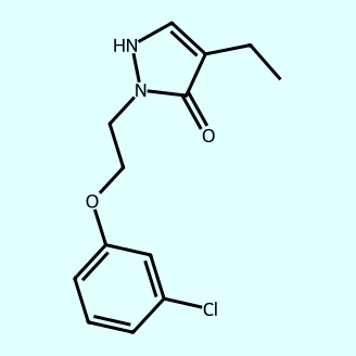 CCc1c[nH]n(CCOc2cccc(Cl)c2)c1=O